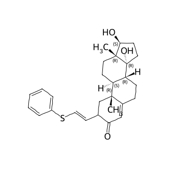 C[C@]12CC(C=CSc3ccccc3)C(=O)C=C1CC[C@@H]1[C@@H]2CC[C@]2(C)[C@@H](O)CC[C@@]12O